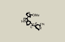 COc1cc(-c2n[nH]c3ccc(NC(=O)c4ccnc(C#N)c4F)cc23)ccn1